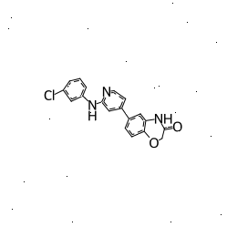 O=C1COc2ccc(-c3ccnc(Nc4cccc(Cl)c4)c3)cc2N1